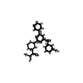 O=C(C(F)F)N1CCCC(c2nc(Nc3cccc(F)c3)cc(-c3cccnc3)n2)C1